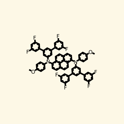 COc1ccc(N(c2cc(-c3cc(F)cc(F)c3)cc(-c3cc(F)cc(F)c3)c2)c2ccc3ccc4c(N(c5ccc(OC)cc5)c5cc(-c6cc(F)cc(F)c6)cc(-c6cc(F)cc(F)c6)c5)ccc5ccc2c3c54)cc1